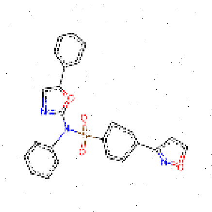 O=S(=O)(c1ccc(-c2ccon2)cc1)N(c1ccccc1)c1ncc(-c2ccccc2)o1